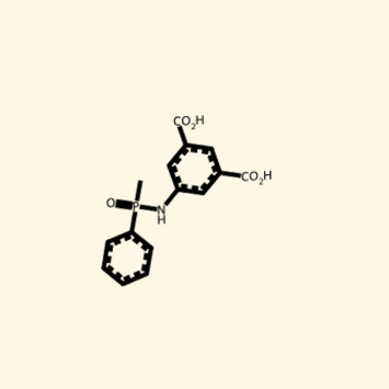 CP(=O)(Nc1cc(C(=O)O)cc(C(=O)O)c1)c1ccccc1